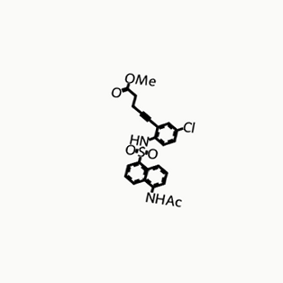 COC(=O)CCC#Cc1cc(Cl)ccc1NS(=O)(=O)c1cccc2c(NC(C)=O)cccc12